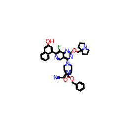 N#CC=C1CC2CN(c3nc(OCC45CCCN4CCC5)nc4c(F)c(-c5cc(O)cc6ccccc56)ncc34)CC1N2C(=O)OCc1ccccc1